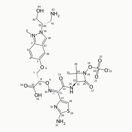 C[n+]1c2ccc(OC[C@H](O/N=C(\C(=O)N[C@@H]3C(=O)N(OS(=O)(=O)[O-])C3(C)C)c3csc(N)n3)C(=O)O)cc2cn1[C@@H](CN)CO